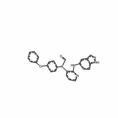 O=CN(c1ccc(Oc2ccccc2)cc1)c1cccnc1Nc1ccc2[nH]ncc2c1